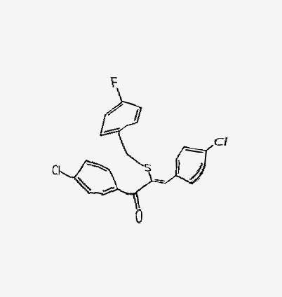 O=C(C(=Cc1ccc(Cl)cc1)SCc1ccc(F)cc1)c1ccc(Cl)cc1